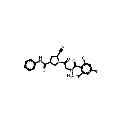 CN(CC(=O)N1CC(C(=O)Nc2ccccc2)CC1C#N)C(=O)c1c(Cl)cc(Cl)cc1Cl